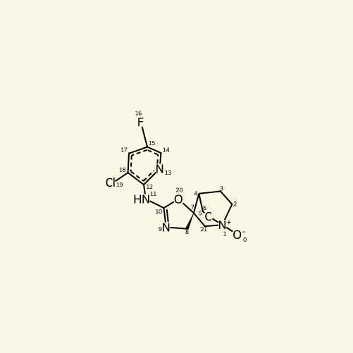 [O-][N+]12CCC(CC1)[C@]1(CN=C(Nc3ncc(F)cc3Cl)O1)C2